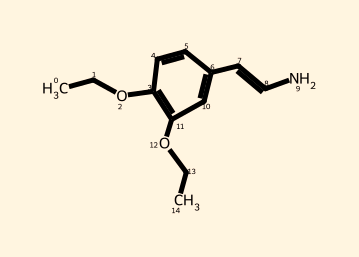 CCOc1ccc(C=CN)cc1OCC